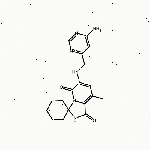 Cc1cc(NCc2cc(N)ncn2)c(=O)n2c1C(=O)NC21CCCCC1